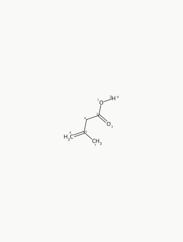 [3H]OC(=O)CC(=C)C